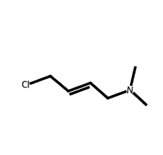 CN(C)CC=CCCl